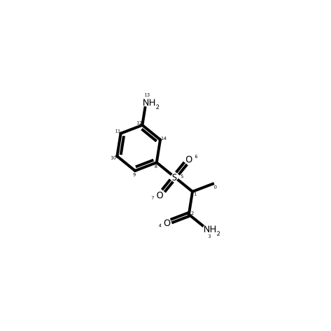 CC(C(N)=O)S(=O)(=O)c1cccc(N)c1